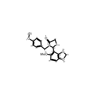 CCOc1ccc(CN2C(=O)CSC2c2c(OC)ccc3c2OCO3)cc1